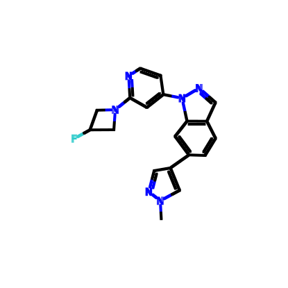 Cn1cc(-c2ccc3cnn(-c4ccnc(N5CC(F)C5)c4)c3c2)cn1